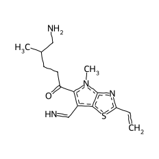 C=Cc1nc2c(s1)c(C=N)c(C(=O)CCC(C)CN)n2C